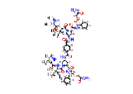 CN[C@@H](C)C(=O)C[C@H](C(=O)N1C[C@@H](NC(=O)c2ccc(C(=O)N[C@H]3C[C@@H](C(=O)N[C@H](COCC(N)=O)c4ccccc4)N(C(=O)[C@@H](NC(=O)[C@H](C)NC)C(C)(C)C)C3)cc2)C[C@H]1C(=O)N[C@H](COCC(N)=O)c1ccccc1)C(C)(C)C